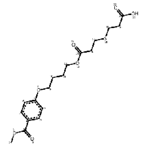 COC(=O)c1ccc(OCCCCOC(=O)CCSCCC(=O)O)cc1